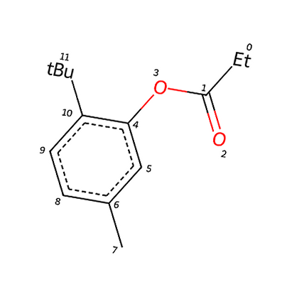 CCC(=O)Oc1cc(C)ccc1C(C)(C)C